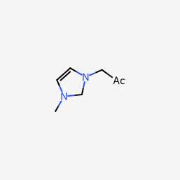 CC(=O)CN1C=CN(C)C1